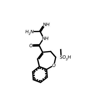 CS(=O)(=O)O.N=C(N)NC(=O)C1=Cc2ccccc2OCC1